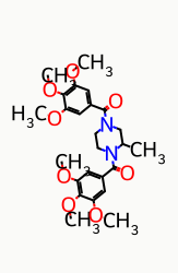 COc1cc(C(=O)N2CCN(C(=O)c3cc(OC)c(OC)c(OC)c3)C(C)C2)cc(OC)c1OC